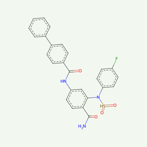 NC(=O)c1ccc(NC(=O)c2ccc(-c3ccccc3)cc2)cc1N(c1ccc(F)cc1)[SH](=O)=O